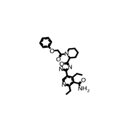 CCc1ncc(-c2noc(C3CCCCN3C(=O)COc3ccccc3)n2)c(CC)c1C(N)=O